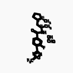 C[C@H](CN1CCC[C@@H]1C)NC(=O)c1ccc(-c2noc(C(F)(F)F)n2)c(F)c1.O=CO